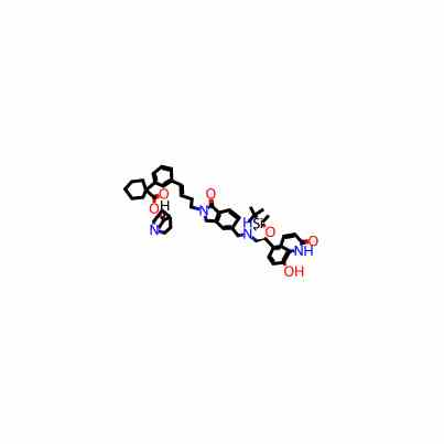 CC(C)(C)[Si](C)(C)O[C@H](CNCc1ccc2c(c1)CN(CC/C=C/c1cccc(C3(C(=O)O[C@H]4CN5CCC4CC5)CCCCC3)c1)C2=O)c1ccc(O)c2[nH]c(=O)ccc12